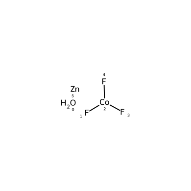 O.[F][Co]([F])[F].[Zn]